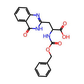 O=C(NC(Cc1nc2ccccc2c(=O)[nH]1)C(=O)O)OCc1ccccc1